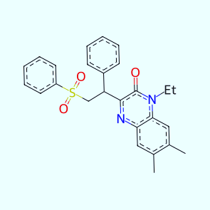 CCn1c(=O)c(C(CS(=O)(=O)c2ccccc2)c2ccccc2)nc2cc(C)c(C)cc21